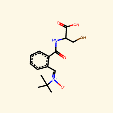 CC(C)(C)/[N+]([O-])=C\c1ccccc1C(=O)NC(CS)C(=O)O